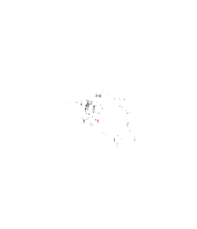 CC[C@H](C)[C@@H]1NC(=O)CNC(=O)[C@@H]2Cc3c([nH]c4cc(OC)ccc34)SC[C@@H](NC(=O)CNC1=O)C(=O)NC(CC(=O)O)C(=O)N1C[C@H](O)CC1C(=O)N[C@@H]([C@@H](C)[C@H](C)O)C(=O)N2